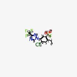 CCc1cc(Cl)c(-n2cnc(C(F)(F)F)n2)cc1S(=O)(=O)F